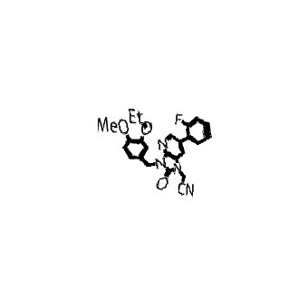 CCOc1cc(Cn2c(=O)n(CC#N)c3cc(-c4ccccc4F)cnc32)ccc1OC